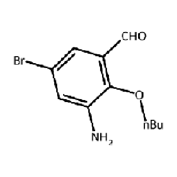 CCCCOc1c(N)cc(Br)cc1C=O